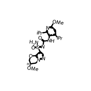 COc1cc(C(C)C)c(NC(=O)N=S(N)(=O)c2cnn3c2OC[C@H](OC)C3)c(C(C)C)n1